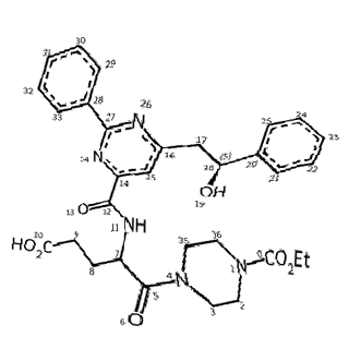 CCOC(=O)N1CCN(C(=O)C(CCC(=O)O)NC(=O)c2cc(C[C@H](O)c3ccccc3)nc(-c3ccccc3)n2)CC1